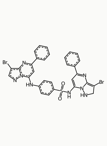 O=S(=O)(NC1=CC(c2ccccc2)=NC2=C(Br)CNN12)c1ccc(Nc2cc(-c3ccccc3)nc3c(Br)cnn23)cc1